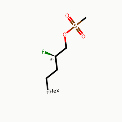 CCCCCCCC[C@@H](F)COS(C)(=O)=O